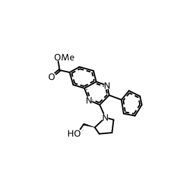 COC(=O)c1ccc2nc(-c3ccccc3)c(N3CCC[C@H]3CO)nc2c1